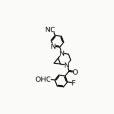 N#Cc1ccc(N2CCN(C(=O)c3cc(C=O)ccc3F)C3CC32)nc1